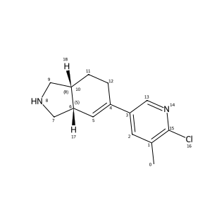 Cc1cc(C2=C[C@@H]3CNC[C@@H]3CC2)cnc1Cl